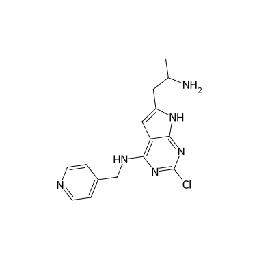 CC(N)Cc1cc2c(NCc3ccncc3)nc(Cl)nc2[nH]1